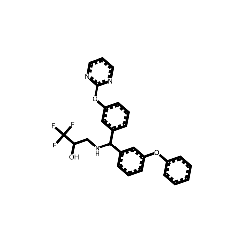 OC(CNC(c1cccc(Oc2ccccc2)c1)c1cccc(Oc2ncccn2)c1)C(F)(F)F